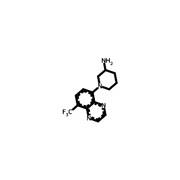 NC1CCCN(c2ccc(C(F)(F)F)c3nccnc23)C1